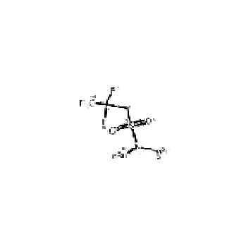 CCCCN(CCC)S(=O)(=O)CC(F)(F)C(F)(F)F